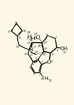 Cc1ccc2c3c1OC1C(O)CC[C@]4(O)[C@H](C2)N(CC2CCC2)CC[C@@]314